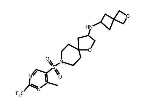 Cc1nc(C(F)(F)F)ncc1S(=O)(=O)N1CCC2(CC1)CC(NC1CC3(COC3)C1)CO2